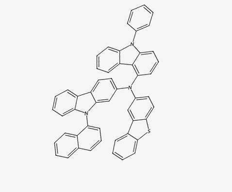 c1ccc(-n2c3ccccc3c3c(N(c4ccc5sc6ccccc6c5c4)c4ccc5c6ccccc6n(-c6cccc7ccccc67)c5c4)cccc32)cc1